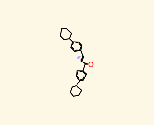 O=C(/C=C/c1ccc(C2CCCCC2)cc1)c1ccc(C2CCCCC2)cc1